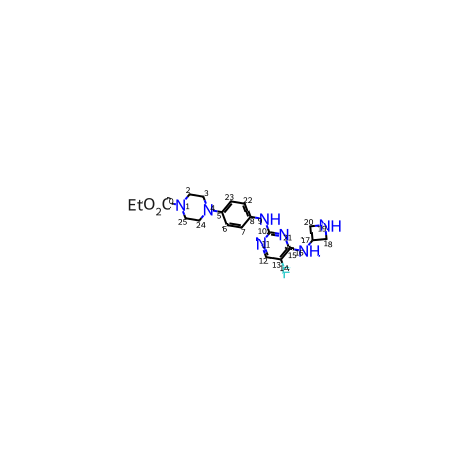 CCOC(=O)N1CCN(c2ccc(Nc3ncc(F)c(NC4CNC4)n3)cc2)CC1